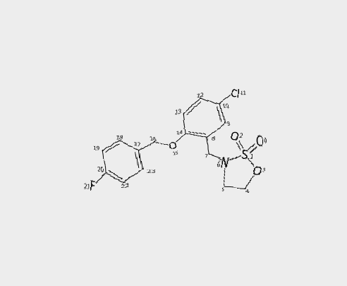 O=S1(=O)OCCN1Cc1cc(Cl)ccc1OCc1ccc(F)cc1